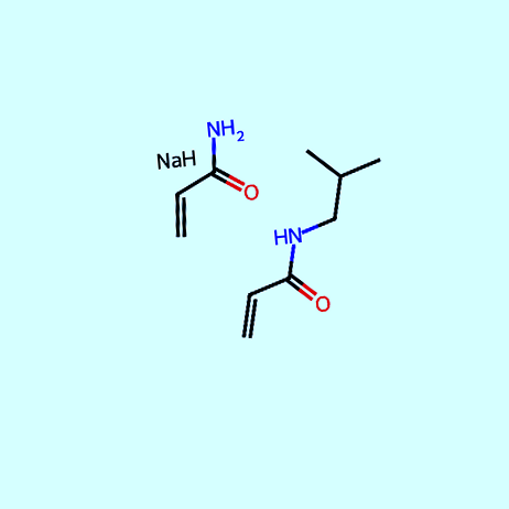 C=CC(=O)NCC(C)C.C=CC(N)=O.[NaH]